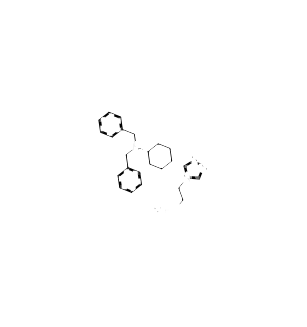 COCCn1cnnc1[C@H]1CC[C@H](N(Cc2ccccc2)Cc2ccccc2)CC1